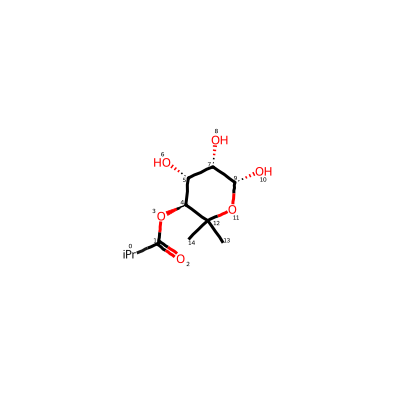 CC(C)C(=O)O[C@H]1[C@H](O)[C@H](O)[C@H](O)OC1(C)C